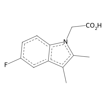 Cc1c(C)n(CC(=O)O)c2ccc(F)cc12